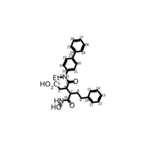 CCN(C(=O)C(CC(=O)O)C(CCc1ccccc1)C(=O)NO)c1ccc(-c2ccccc2)cc1